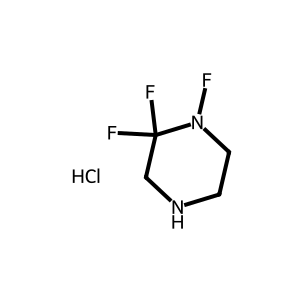 Cl.FN1CCNCC1(F)F